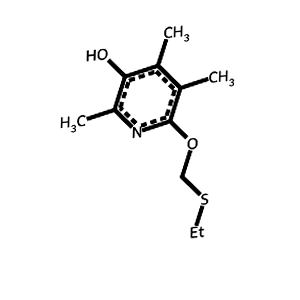 CCSCOc1nc(C)c(O)c(C)c1C